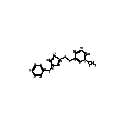 Cc1cc(CCc2cn(Cc3ccccc3)nn2)ccn1